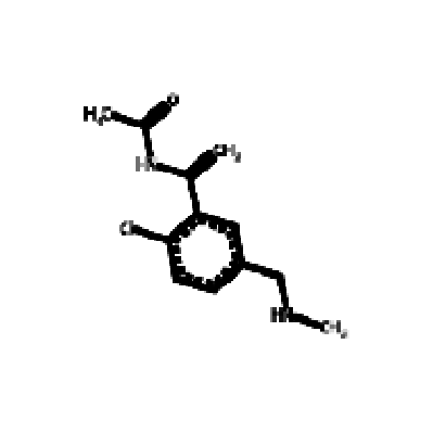 C=C(NC(C)=O)c1cc(CNC)ccc1Cl